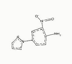 Nc1ccc(-n2cccn2)cc1[N+](=O)[O-]